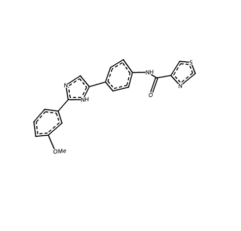 COc1cccc(-c2ncc(-c3ccc(NC(=O)c4cscn4)cc3)[nH]2)c1